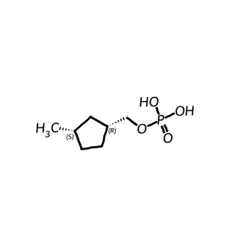 C[C@H]1CC[C@@H](COP(=O)(O)O)C1